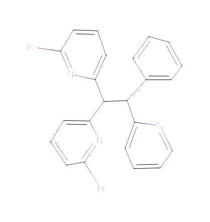 Brc1cccc(C(c2cccc(Br)n2)C(c2ccccc2)c2ccccn2)n1